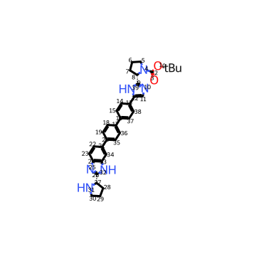 CC(C)(C)OC(=O)N1CCC[C@H]1c1ncc(-c2ccc(-c3ccc(-c4ccc5nc([C@@H]6CCCN6)[nH]c5c4)cc3)cc2)[nH]1